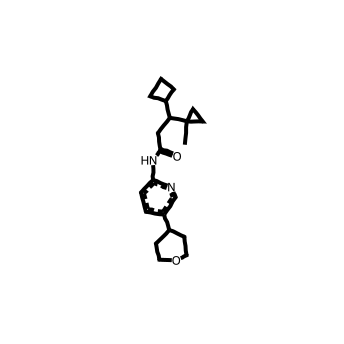 CC1(C(CC(=O)Nc2ccc(C3CCOCC3)cn2)C2CCC2)CC1